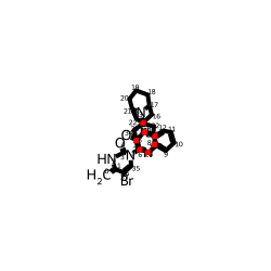 C=C1NC(=O)N(c2nc3ccccc3n(C3CC4CCCC(C3)N4C3CC4CCCC(C4)C3)c2=O)C=C1Br